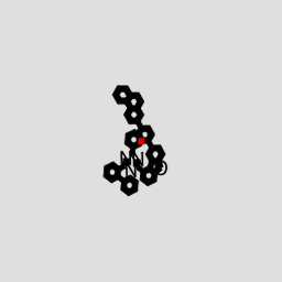 c1ccc(-c2nc(-c3ccccc3-c3ccccc3)nc(-c3cccc4oc5ccc(-c6ccc(-c7ccc8c(ccc9ccccc98)c7)cc6)cc5c34)n2)cc1